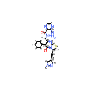 C[C@H](NC(=O)c1nccnc1N)c1nc2scc(C#Cc3cnn(C)c3)n2c(=O)c1-c1ccccc1